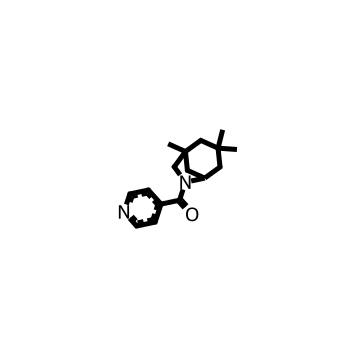 CC1(C)CC2CC(C)(CN2C(=O)c2ccncc2)C1